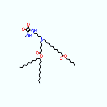 CCCCCCCCCC(CCCCCCCCC)OC(=O)CCCCN(CCCCCCCCCC(=O)OCCCCC)CCCCNc1c(NC)c(=O)c1=O